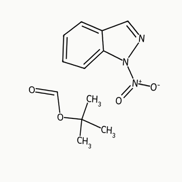 CC(C)(C)OC=O.O=[N+]([O-])n1ncc2ccccc21